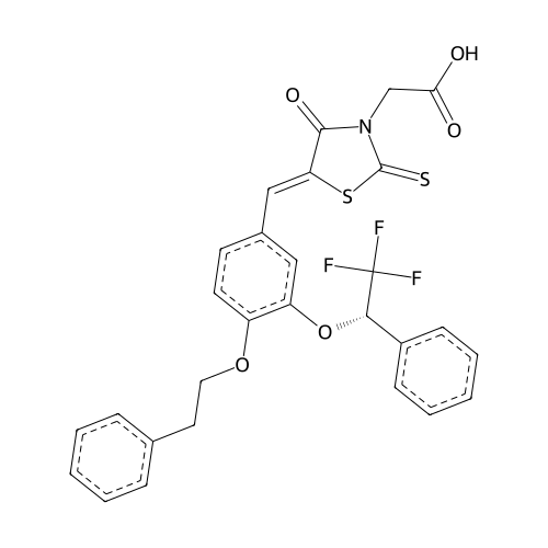 O=C(O)CN1C(=O)C(=Cc2ccc(OCCc3ccccc3)c(O[C@@H](c3ccccc3)C(F)(F)F)c2)SC1=S